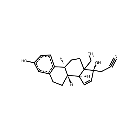 CCC12CC[C@@H]3c4ccc(O)cc4CC[C@H]3[C@@H]1C=C[C@@]2(O)CC#N